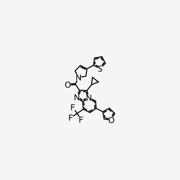 O=C(c1nc2c(C(F)(F)F)cc(-c3ccoc3)cn2c1C1CC1)N1CC=C(c2cccs2)C1